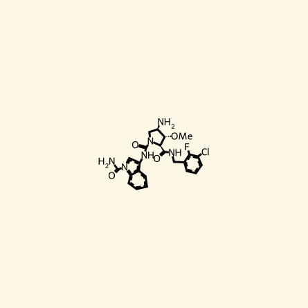 CO[C@H]1[C@H](N)CN(C(=O)Nc2cn(C(N)=O)c3ccccc23)[C@@H]1C(=O)NCc1cccc(Cl)c1F